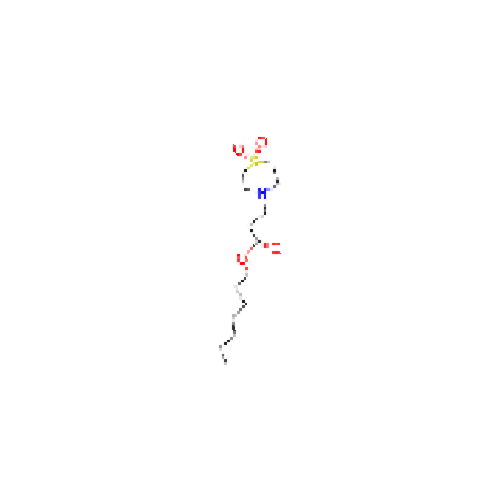 CCCCCCCOC(=O)CCN1CCS(=O)(=O)CC1